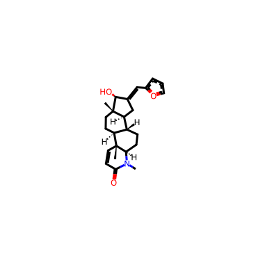 CN1C(=O)C=C[C@]2(C)[C@H]3CC[C@]4(C)[C@@H](O)C(=Cc5ccco5)C[C@H]4[C@@H]3CC[C@@H]12